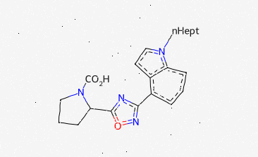 CCCCCCCn1ccc2c(-c3noc(C4CCCN4C(=O)O)n3)cccc21